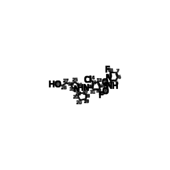 O=S(=O)(Nc1cccc(F)n1)c1cc(Cl)c(N[C@H]2CCCC[C@@H]2N2CC[C@H](CCO)C2)cc1F